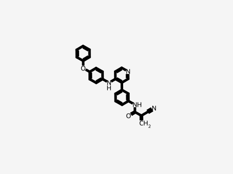 C=C(C#N)C(=O)Nc1cccc(-c2cnccc2Nc2ccc(Oc3ccccc3)cc2)c1